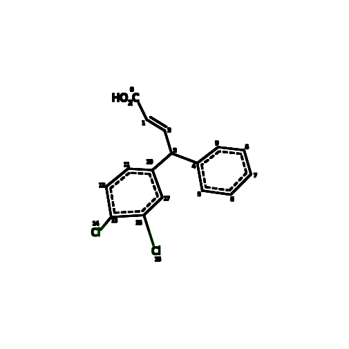 O=C(O)C=CC(c1ccccc1)c1ccc(Cl)c(Cl)c1